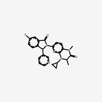 CC1C(=O)N(C)c2ccc(N3C(=O)c4cc(F)ccc4C3c3cccnc3)nc2N1C1CC1